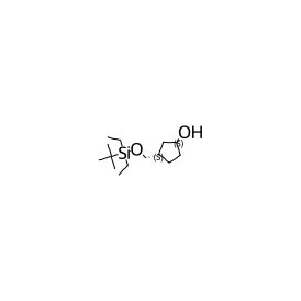 CC[Si](CC)(OC[C@H]1CC[C@H](O)C1)C(C)(C)C